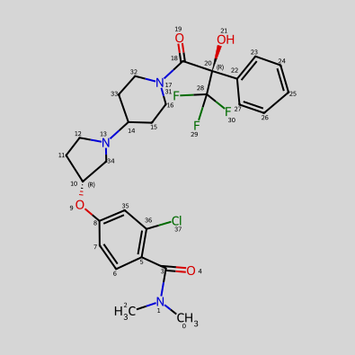 CN(C)C(=O)c1ccc(O[C@@H]2CCN(C3CCN(C(=O)[C@](O)(c4ccccc4)C(F)(F)F)CC3)C2)cc1Cl